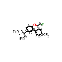 CCOC(=O)C(CC(C)C)c1ccc(OCCF)c(-c2ccc(C(F)(F)F)cc2)c1